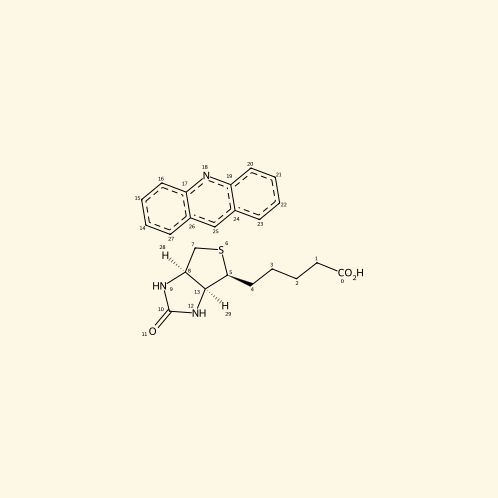 O=C(O)CCCC[C@@H]1SC[C@@H]2NC(=O)N[C@@H]21.c1ccc2nc3ccccc3cc2c1